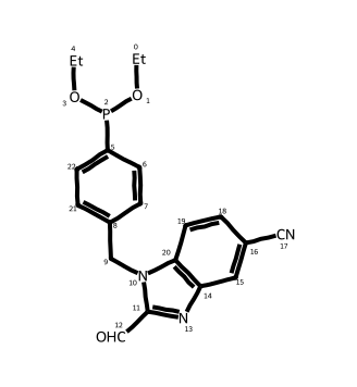 CCOP(OCC)c1ccc(Cn2c(C=O)nc3cc(C#N)ccc32)cc1